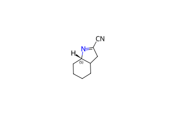 N#CC1=N[C@H]2CCCCC2C1